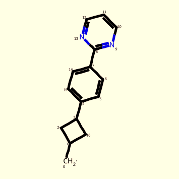 [CH2]C1CC(c2ccc(-c3ncccn3)cc2)C1